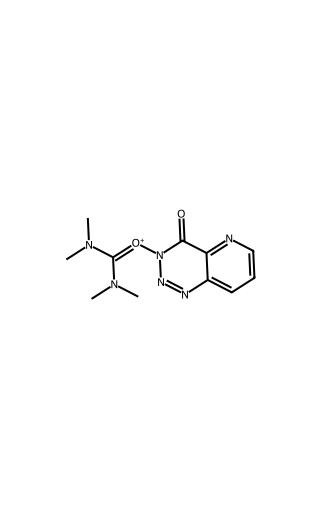 CN(C)C(=[O+]n1nnc2cccnc2c1=O)N(C)C